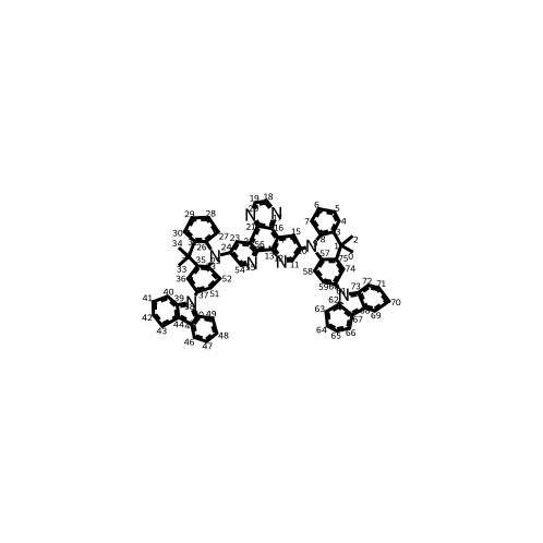 CC1(C)c2ccccc2N(c2cnc3c(c2)c2nccnc2c2cc(N4c5ccccc5C(C)(C)c5cc(-n6c7ccccc7c7ccccc76)ccc54)cnc23)c2ccc(-n3c4ccccc4c4ccccc43)cc21